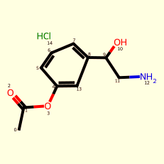 CC(=O)Oc1cccc(C(O)CN)c1.Cl